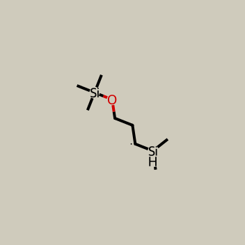 C[SiH](C)[CH]CCO[Si](C)(C)C